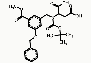 COC(=O)c1cc(CN(C(=O)OC(C)(C)C)C(CC(=O)O)C(=O)O)cc(OCc2ccccc2)c1